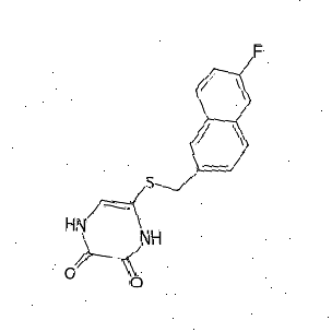 O=c1[nH]cc(SCc2ccc3cc(F)ccc3c2)[nH]c1=O